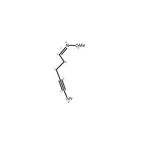 [CH2]CCC#CCC/C=N\OC